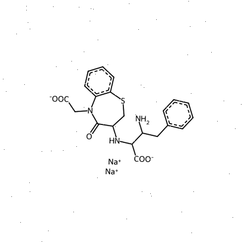 NC(Cc1ccccc1)C(NC1CSc2ccccc2N(CC(=O)[O-])C1=O)C(=O)[O-].[Na+].[Na+]